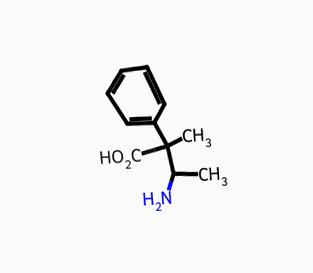 CC(N)C(C)(C(=O)O)c1ccccc1